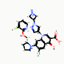 O=C(O)c1cn(-c2cnn(C3CNC3)c2)c2cc(N3CCC[C@@H]3COc3ncccc3F)c(Cl)cc2c1=O